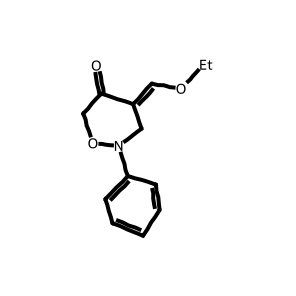 CCOC=C1CN(c2ccccc2)OCC1=O